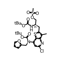 Cc1c(C[C@H](COS(C)(=O)=O)NC(=O)OC(C)(C)C)sc2c(N(Cc3ccco3)C(=O)OC(C)(C)C)cc(Cl)nc12